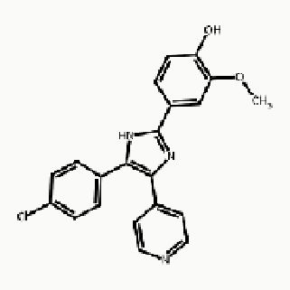 COc1cc(-c2nc(-c3ccncc3)c(-c3ccc(Cl)cc3)[nH]2)ccc1O